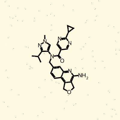 CC(C)c1nn(C)cc1N(Cc1ccc2c3c(c(N)nc2c1)COC3)C(=O)c1cnc(C2CC2)nc1